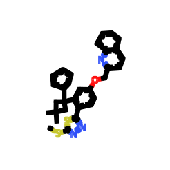 CSc1nnc(-c2ccc(OCc3ccc4ccccc4n3)cc2C2(c3ccccc3)CC(C)(C)C2)s1